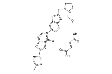 COC[C@H]1CCCN1Cc1cc2cc(-n3cnc4cc(-c5ccc(C)cc5)sc4c3=O)ccc2o1.O=C(O)C=CC(=O)O